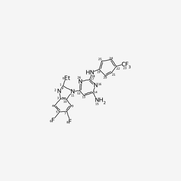 CCc1nc2cc(F)c(F)cc2n1-c1cc(N)nc(Nc2ccc(C(F)(F)F)cc2)n1